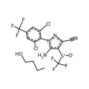 CCCCO.N#Cc1nn(-c2c(Cl)cc(C(F)(F)F)cc2Cl)c(N)c1[S+]([O-])C(F)(F)F